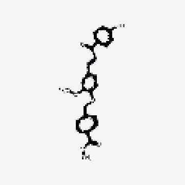 COC(=O)c1ccc(COc2ccc(/C=C/C(=O)c3ccc(O)cc3)cc2OC)cc1